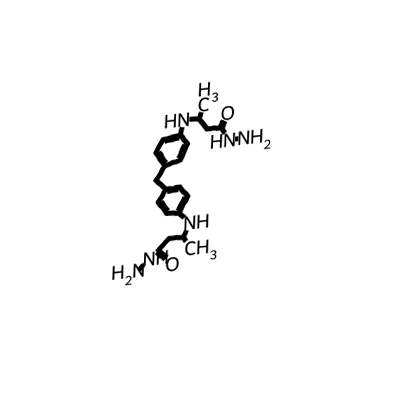 CC(CC(=O)NN)Nc1ccc(Cc2ccc(NC(C)CC(=O)NN)cc2)cc1